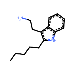 CCCCCc1[nH]c2ccccc2c1CCN